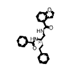 O=C(N[C@@H](CCc1ccccc1)CNC(=O)c1cccc2occc12)c1ccccc1